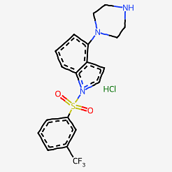 Cl.O=S(=O)(c1cccc(C(F)(F)F)c1)n1ccc2c(N3CCNCC3)cccc21